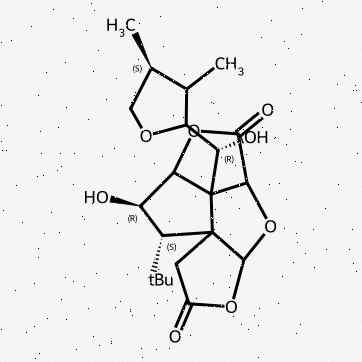 CC1C([C@H](O)C23C4OC5OC(=O)CC52[C@H](C(C)(C)C)[C@@H](O)C3OC4=O)OC[C@H]1C